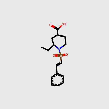 CCC1CC(C(=O)O)CCN1S(=O)(=O)/C=C/c1ccccc1